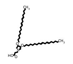 CCCCCC=CCC=CCCCCCCCCO[C@@H]1CN(CCC(=O)O)C[C@H]1OCCCCCCCCC=CCC=CCCCCC